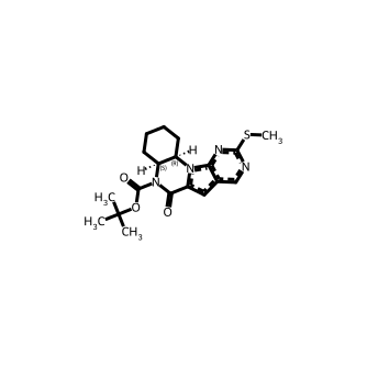 CSc1ncc2cc3n(c2n1)[C@@H]1CCCC[C@@H]1N(C(=O)OC(C)(C)C)C3=O